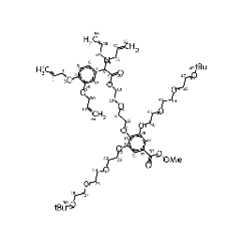 C=CCOc1ccc(C(C(=O)OCCOCCOc2c(OCCOCCOCCOC(C)(C)C)cc(C(=O)OOC)cc2OCCOCCOCCOC(C)(C)C)N(CC=C)CC=C)cc1OCC=C